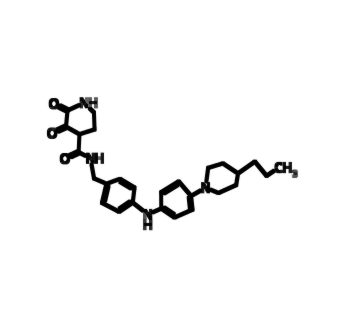 CCCC1CCN(c2ccc(Nc3ccc(CNC(=O)C4CCNC(=O)C4=O)cc3)cc2)CC1